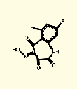 O=C1Nc2cc(F)cc(F)c2C(=O)C(=NO)C1=O